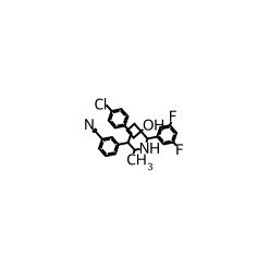 CC(NC(c1cc(F)cc(F)c1)C1(O)CCC1)C(Cc1ccc(Cl)cc1)c1cccc(C#N)c1